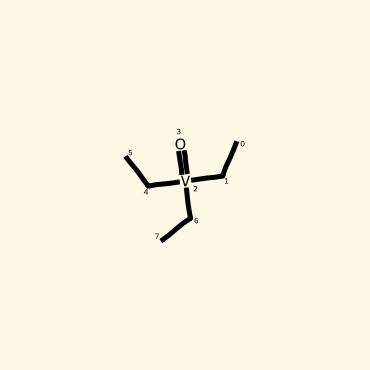 C[CH2][V](=[O])([CH2]C)[CH2]C